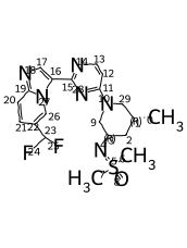 C[C@@H]1C[C@@H](N=S(C)(C)=O)CN(c2ccnc(-c3cnc4ccc(C(F)F)cn34)n2)C1